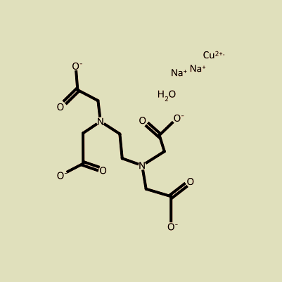 O.O=C([O-])CN(CCN(CC(=O)[O-])CC(=O)[O-])CC(=O)[O-].[Cu+2].[Na+].[Na+]